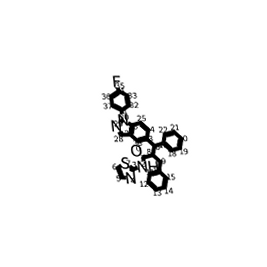 O=C(Nc1nccs1)C(Cc1ccccc1)C(c1ccccc1)c1ccc2c(cnn2-c2ccc(F)cc2)c1